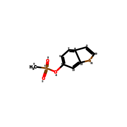 CS(=O)(=O)Oc1ccc2[c]csc2c1